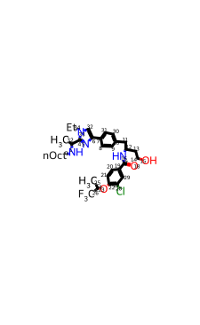 CCCCCCCCNC(C)c1nc(-c2ccc(CC(CCO)NC(=O)c3ccc(OC(C)C(F)(F)F)c(Cl)c3)cc2)cn1CC